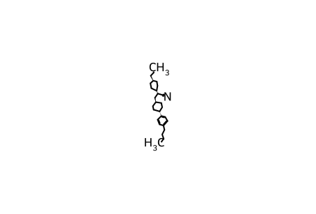 CCCCc1ccc([C@H]2CC[C@H](CC(C#N)[C@H]3CC[C@H](CCC)CC3)CC2)cc1